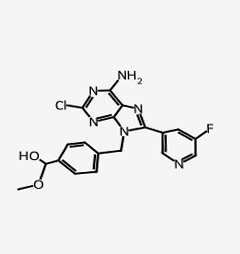 COC(O)c1ccc(Cn2c(-c3cncc(F)c3)nc3c(N)nc(Cl)nc32)cc1